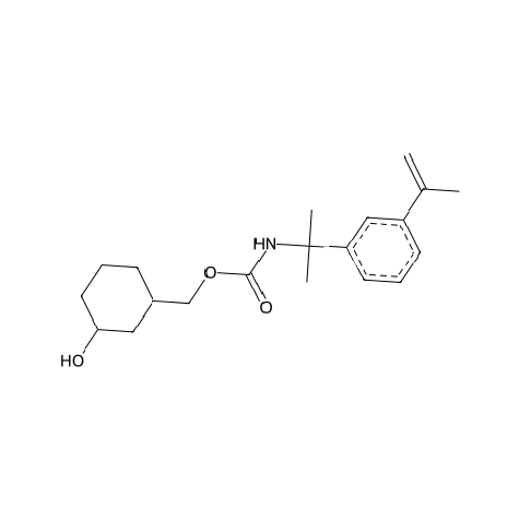 C=C(C)c1cccc(C(C)(C)NC(=O)OCC2CCCC(O)C2)c1